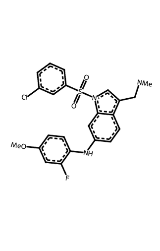 CNCc1cn(S(=O)(=O)c2cccc(Cl)c2)c2cc(Nc3ccc(OC)cc3F)ccc12